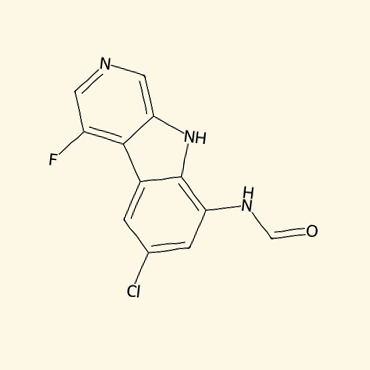 O=CNc1cc(Cl)cc2c1[nH]c1cncc(F)c12